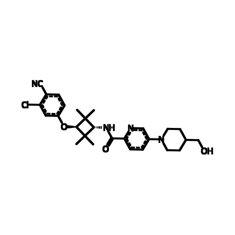 CC1(C)[C@H](NC(=O)c2ccc(N3CCC(CO)CC3)cn2)C(C)(C)[C@H]1Oc1ccc(C#N)c(Cl)c1